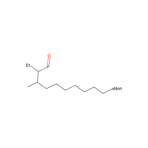 CCCCCCCCCCCCCCCCC(C)C(CC)P=O